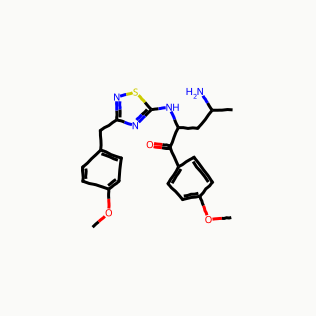 COc1ccc(Cc2nsc(NC(CC(C)N)C(=O)c3ccc(OC)cc3)n2)cc1